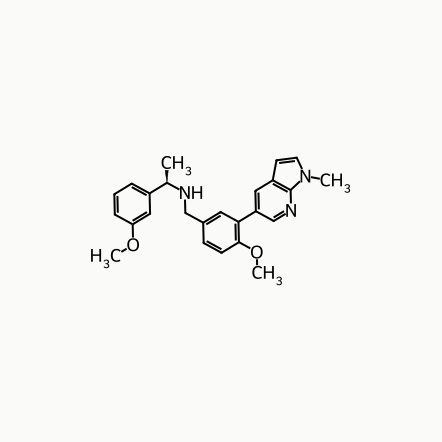 COc1cccc([C@@H](C)NCc2ccc(OC)c(-c3cnc4c(ccn4C)c3)c2)c1